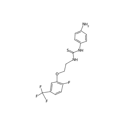 Nc1ccc(NC(=S)NCCOc2cc(C(F)(F)F)ccc2F)cc1